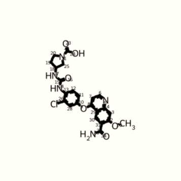 COc1cc2nccc(Oc3ccc(NC(=O)NC4CCN(C(=O)O)C4)c(Cl)c3)c2cc1C(N)=O